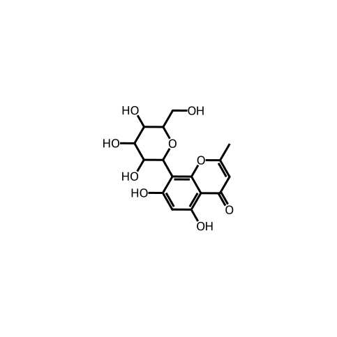 Cc1cc(=O)c2c(O)cc(O)c(C3OC(CO)C(O)C(O)C3O)c2o1